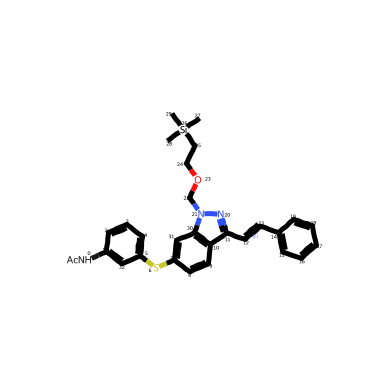 CC(=O)Nc1cccc(Sc2ccc3c(/C=C/c4ccccc4)nn(COCC[Si](C)(C)C)c3c2)c1